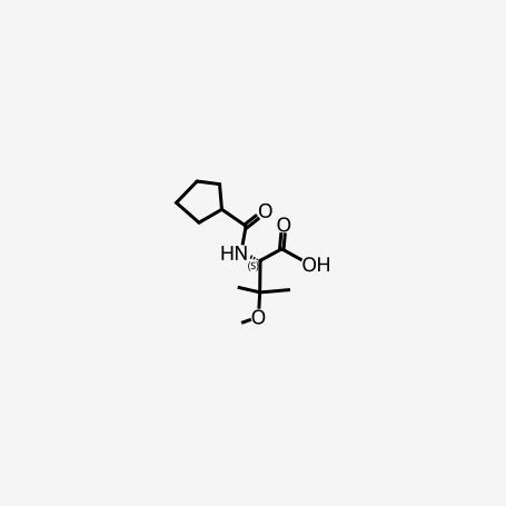 COC(C)(C)[C@H](NC(=O)C1CCCC1)C(=O)O